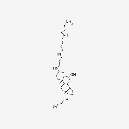 CC(C)CCC[C@@H](C)C1CCC2C3CC(O)C4C[C@H](NCCCNCCCCNCCCN)CCC4(C)C3CCC21C